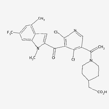 C=C(c1cnc(Cl)c(C(=O)c2cc3c(C)cc(C(F)(F)F)cc3n2C)c1Cl)N1CCC(CC(=O)O)CC1